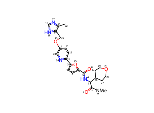 CNC(=O)C(NC(=O)c1ccc(-c2ccc(OCc3[nH]cnc3C)cn2)o1)C1CCOCC1